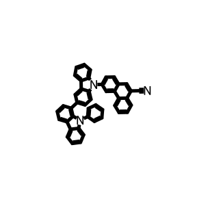 N#Cc1cc2ccc(-n3c4ccccc4c4cc(-c5cccc6c7ccccc7n(-c7ccccc7)c56)ccc43)cc2c2ccccc12